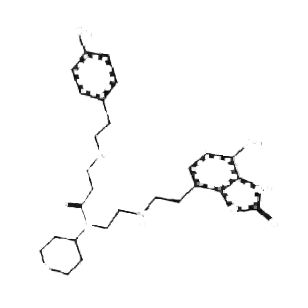 Cc1ccc(CCNCCC(=O)N(CCNCCc2ccc(O)c3[nH]c(=O)sc23)C2CCOCC2)cc1